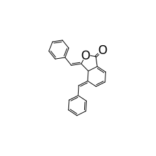 O=C1OC(=Cc2ccccc2)C2C(=Cc3ccccc3)C=CC=C12